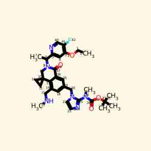 CCOc1cc(C(C)N2CC3(CC3)c3c(CNC)cc(Cn4ccnc4N(C)C(=O)OC(C)(C)C)cc3C2=O)ncc1F